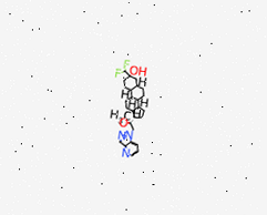 C[C@]12CC[C@H]3[C@@H](CC[C@@H]4C[C@@](O)(C(F)F)CC[C@@H]43)[C@@H]1CC[C@@H]2C(=O)Cn1ncc2ncccc21